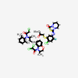 CC1COc2ccccc2N1C(=O)C(Cl)Cl.CCc1cccc(C)c1N(C(=O)CCl)C(C)COC.COC(=O)CSc1cc(/N=c2\sc(=O)n3n2CCCC3)c(F)cc1Cl